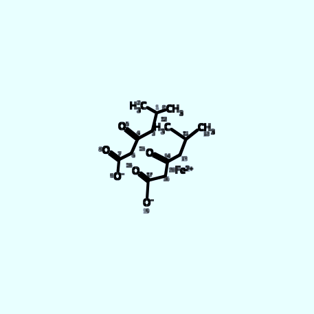 CC(C)CC(=O)CC(=O)[O-].CC(C)CC(=O)CC(=O)[O-].[Fe+2]